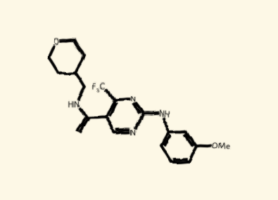 C=C(NCC1CCOCC1)c1cnc(Nc2cccc(OC)c2)nc1C(F)(F)F